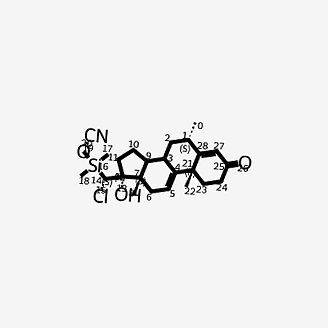 C[C@H]1CC2C(=CC[C@@]3(C)C2CC[C@]3(O)[C@H](Cl)[Si](C)(C)OC#N)[C@@]2(C)CCC(=O)C=C12